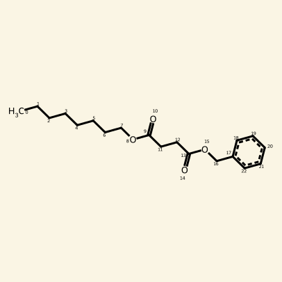 CCCCCCCCOC(=O)CCC(=O)OCc1ccccc1